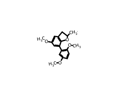 [CH2]C1Cc2cc(OC)cc(-c3cc(OC)ccc3OC)c2O1